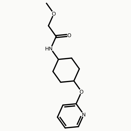 COCC(=O)NC1CCC(Oc2ccccn2)CC1